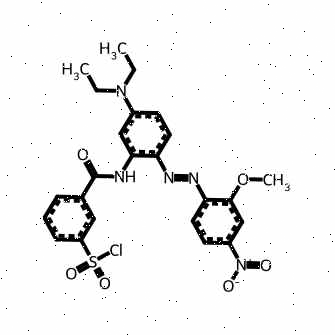 CCN(CC)c1ccc(/N=N/c2ccc([N+](=O)[O-])cc2OC)c(NC(=O)c2cccc(S(=O)(=O)Cl)c2)c1